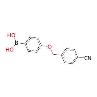 N#Cc1ccc(COc2ccc(B(O)O)cc2)cc1